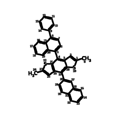 Cc1cc2c(-c3ccc(-c4ccccc4)c4ccccc34)c3sc(C)cc3c(-c3ccc4ccccc4c3)c2s1